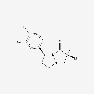 CC[C@@]1(C)CN2CC[C@@H](c3ccc(F)c(F)c3)N2C1=O